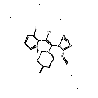 C=Nc1ncnn1/C(=C(\Cl)c1c(F)cccc1Cl)N1CCC(C)CC1